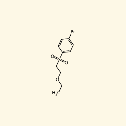 CCOCCS(=O)(=O)c1ccc(Br)cc1